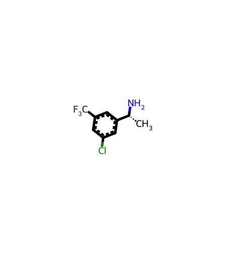 C[C@@H](N)c1cc(Cl)cc(C(F)(F)F)c1